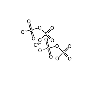 O=S(=O)([O-])OS(=O)(=O)[O-].O=S(=O)([O-])OS(=O)(=O)[O-].[C+4]